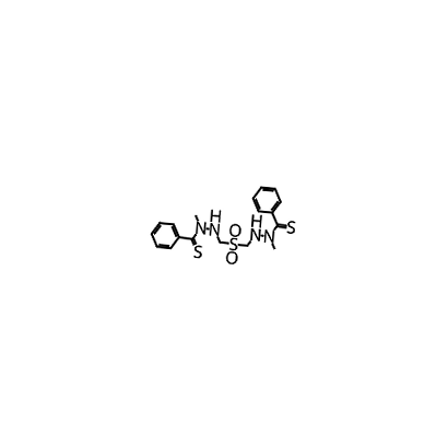 CN(NCS(=O)(=O)CNN(C)C(=S)c1ccccc1)C(=S)c1ccccc1